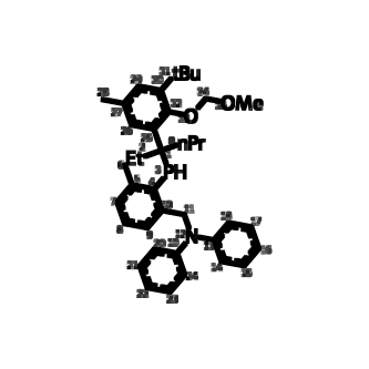 CCCC(CC)(Pc1c(C)cccc1CN(c1ccccc1)c1ccccc1)c1cc(C)cc(C(C)(C)C)c1OCOC